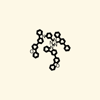 c1ccc(-c2ccc(-c3ccccc3)c(-c3nc(-c4cccc(-n5c6ccccc6c6cc(-c7ccc8oc9ccccc9c8c7)ccc65)c4)nc(-n4c5ccccc5c5cc(-c6ccc7oc8ccccc8c7c6)ccc54)n3)c2)cc1